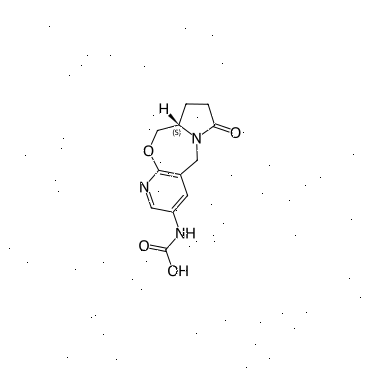 O=C(O)Nc1cnc2c(c1)CN1C(=O)CC[C@H]1CO2